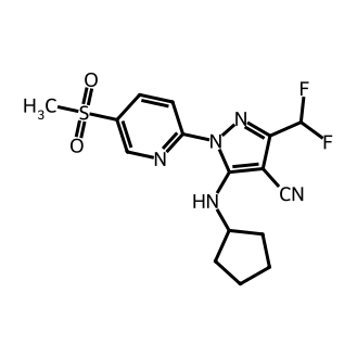 CS(=O)(=O)c1ccc(-n2nc(C(F)F)c(C#N)c2NC2CCCC2)nc1